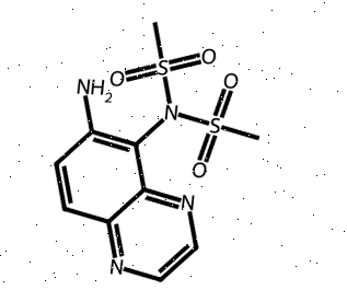 CS(=O)(=O)N(c1c(N)ccc2nccnc12)S(C)(=O)=O